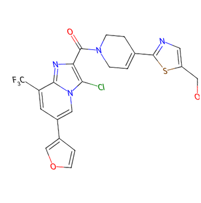 O=C(c1nc2c(C(F)(F)F)cc(-c3ccoc3)cn2c1Cl)N1CC=C(c2ncc(CO)s2)CC1